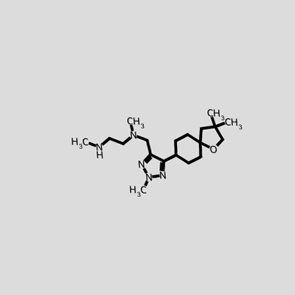 CNCCN(C)Cc1nn(C)nc1C1CCC2(CC1)CC(C)(C)CO2